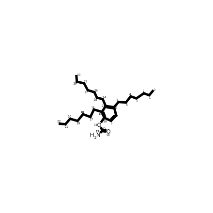 CCCCCCCc1ccc(OC(N)=O)c(CCCCCCC)c1CCCCCCC